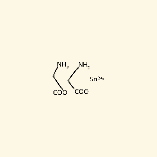 NCC(=O)[O-].NCC(=O)[O-].[Sn+2]